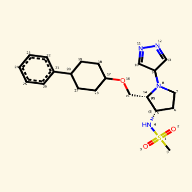 CS(=O)(=O)N[C@H]1CCN(C2C=NN=C2)[C@H]1COC1CCC(c2ccccc2)CC1